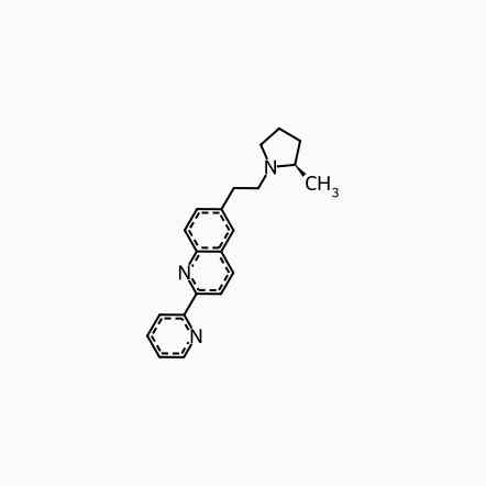 C[C@@H]1CCCN1CCc1ccc2nc(-c3ccccn3)ccc2c1